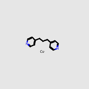 [Cu].c1cc(CCCc2ccncc2)ccn1